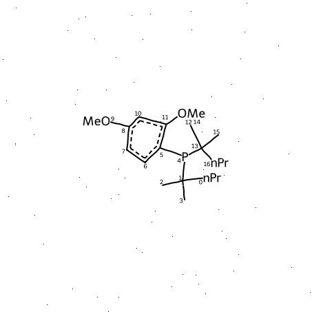 CCCC(C)(C)P(c1ccc(OC)cc1OC)C(C)(C)CCC